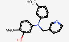 COc1ccc(N(Cc2cccnc2)c2cccc(C(=O)O)c2)cc1O